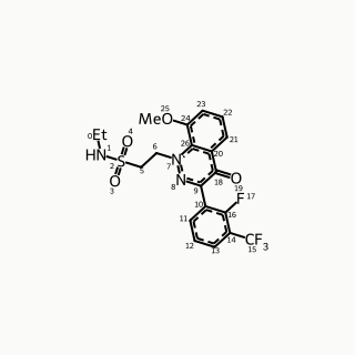 CCNS(=O)(=O)CCn1nc(-c2cccc(C(F)(F)F)c2F)c(=O)c2cccc(OC)c21